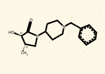 C[C@H]1CN(C2CCN(Cc3ccccc3)CC2)C(=O)[C@@H]1O